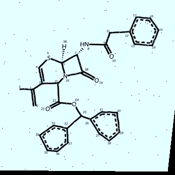 C=C(C)C1=CS[C@H]2[C@H](NC(=O)Cc3ccccc3)C(=O)N2C1C(=O)OC(c1ccccc1)c1ccccc1